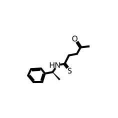 CC(=O)CCC(=S)N[C@@H](C)c1ccccc1